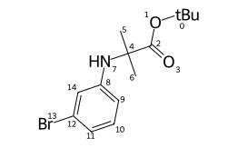 CC(C)(C)OC(=O)C(C)(C)Nc1cccc(Br)c1